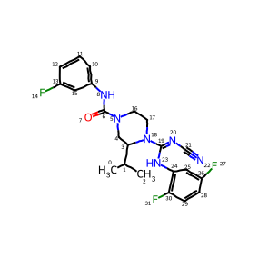 CC(C)C1CN(C(=O)Nc2cccc(F)c2)CCN1/C(=N/C#N)Nc1cc(F)ccc1F